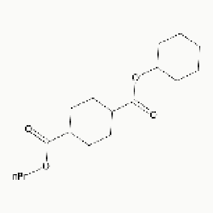 CCCOC(=O)C1CCC(C(=O)OC2CCCCC2)CC1